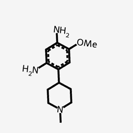 COc1cc(C2CCN(C)CC2)c(N)cc1N